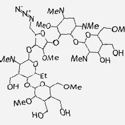 CCC1OC(OC2C(CN=[N+]=[N-])OC(OC3C(OC)C(NC)CC(NC)C3OC3OC(COC)C(CO)C(O)C3NC)C2OC)C(NC)C(CO)C1OC1OC(COC)C(CO)C(CO)C1OC